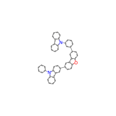 c1ccc(-n2c3ccccc3c3cc(-c4ccc5oc6ccc(-c7cccc(-n8c9ccccc9c9ccccc98)c7)cc6c5c4)ccc32)cc1